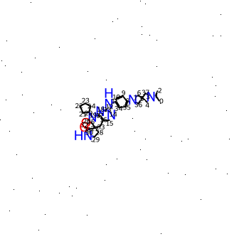 CC(C)N1CC2(CN(c3ccc(Nc4ncc5c(n4)N(C4CCCC4)C(=O)[C@]4(CCNC4=O)C5)cc3)C2)C1